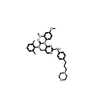 COc1ccc(N2C(=O)N(c3c(C)cccc3C)Cc3cnc(Nc4ccc(CCCN5CCOCC5)cc4)nc32)c(OC)c1